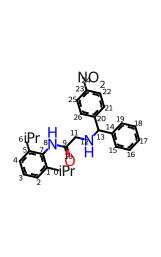 CC(C)c1cccc(C(C)C)c1NC(=O)CNC(c1ccccc1)c1ccc([N+](=O)[O-])cc1